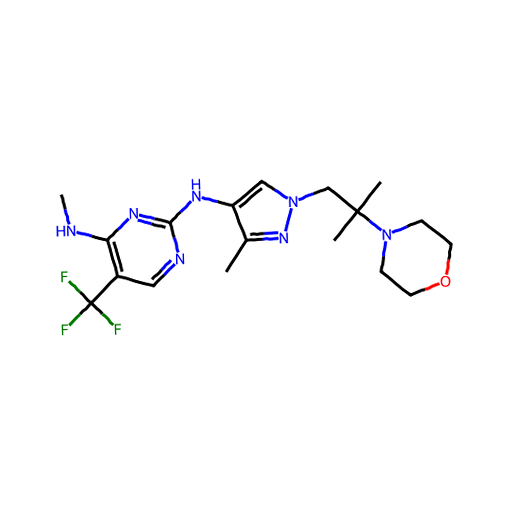 CNc1nc(Nc2cn(CC(C)(C)N3CCOCC3)nc2C)ncc1C(F)(F)F